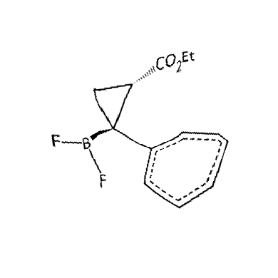 CCOC(=O)[C@H]1C[C@@]1(B(F)F)c1ccccc1